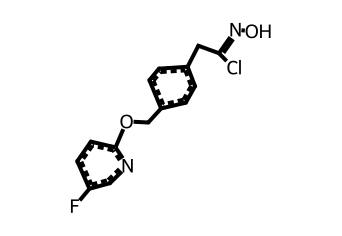 ON=C(Cl)Cc1ccc(COc2ccc(F)cn2)cc1